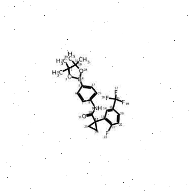 CC1(C)OB(c2ccc(NC(=O)C3(c4cc(C(F)(F)F)ccc4F)CC3)cc2)OC1(C)C